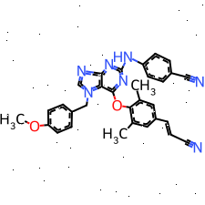 COc1ccc(Cn2cnc3nc(Nc4ccc(C#N)cc4)nc(Oc4c(C)cc(/C=C/C#N)cc4C)c32)cc1